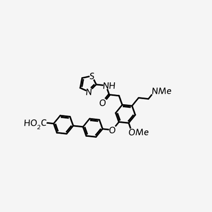 CNCCc1cc(OC)c(Oc2ccc(-c3ccc(C(=O)O)cc3)cc2)cc1CC(=O)Nc1nccs1